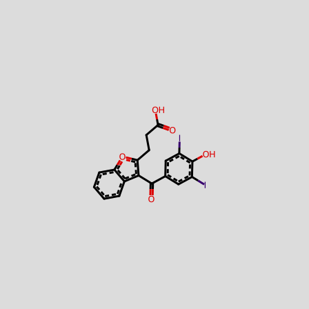 O=C(O)CCc1oc2ccccc2c1C(=O)c1cc(I)c(O)c(I)c1